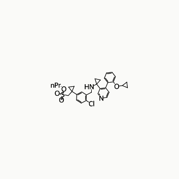 CCCOS(=O)(=O)CC1(c2ccc(Cl)c(CNC3(c4cnccc4-c4ccccc4OC4CC4)CC3)c2)CC1